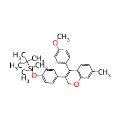 COc1ccc(C2=C(c3ccc(O[Si](C)(C)C(C)(C)C)cc3)COc3cc(C)ccc32)cc1